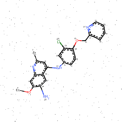 CCOc1cc2nc(CC)cc(Nc3ccc(OCc4ccccn4)c(Cl)c3)c2cc1N